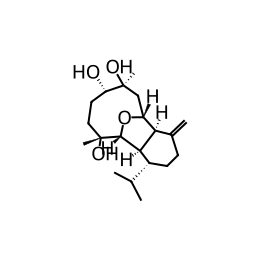 C=C1CC[C@H](C(C)C)[C@@H]2[C@H]1[C@H]1C[C@](C)(O)[C@@H](O)CC[C@@](C)(O)[C@@H]2O1